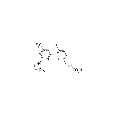 C[C@H]1CCN1c1nc(-c2cc(/C=C/C(=O)O)ccc2F)cc(C(F)(F)F)n1